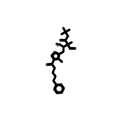 Cn1c(CC(N)C(C)(C=O)C(=O)OC(C)(C)C)ccc1C(=O)CCCCc1ccccc1